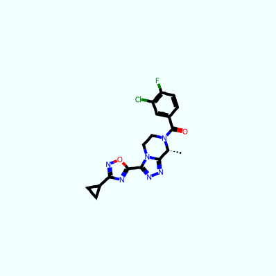 C[C@@H]1c2nnc(-c3nc(C4CC4)no3)n2CCN1C(=O)c1ccc(F)c(Cl)c1